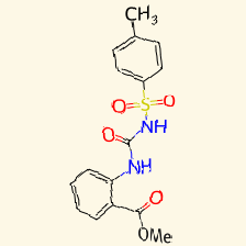 COC(=O)c1ccccc1NC(=O)NS(=O)(=O)c1ccc(C)cc1